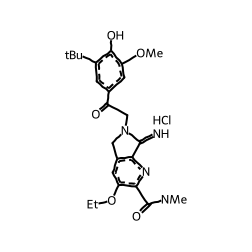 CCOc1cc2c(nc1C(=O)NC)C(=N)N(CC(=O)c1cc(OC)c(O)c(C(C)(C)C)c1)C2.Cl